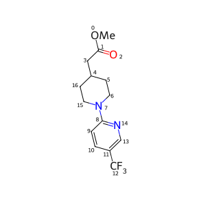 COC(=O)CC1CCN(c2ccc(C(F)(F)F)cn2)CC1